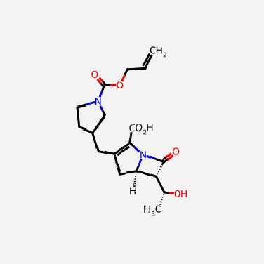 C=CCOC(=O)N1CCC(CC2=C(C(=O)O)N3C(=O)[C@H]([C@@H](C)O)[C@H]3C2)C1